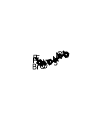 Cc1ccccc1C1CC(c2csc(C3CCN(C(=O)Cn4cc(C(F)(F)F)cc(Br)c4=O)CC3)n2)=NO1